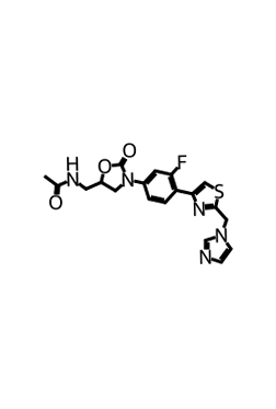 CC(=O)NCC1CN(c2ccc(-c3csc(Cn4ccnc4)n3)c(F)c2)C(=O)O1